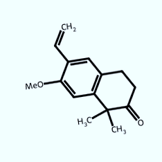 C=Cc1cc2c(cc1OC)C(C)(C)C(=O)CC2